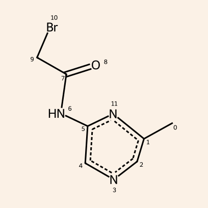 Cc1cncc(NC(=O)CBr)n1